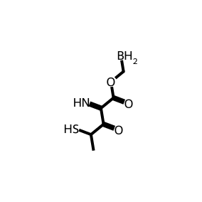 BCOC(=O)C(=N)C(=O)C(C)S